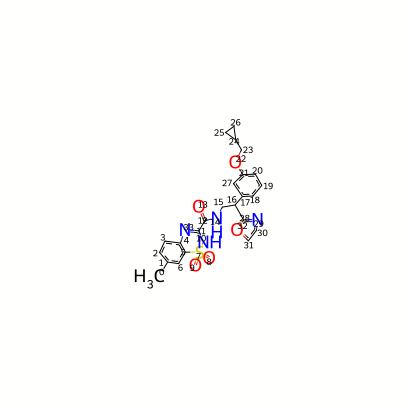 Cc1ccc2c(c1)S(=O)(=O)NC(C(=O)NCC(c1cccc(OCC3CC3)c1)c1ncco1)=N2